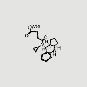 COC(=O)CCC(=O)N(C1CC1)[C@H]1c2ccccc2N[C@@H]2CCC[C@@H]21